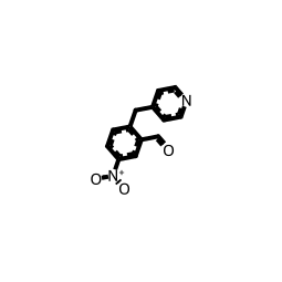 O=Cc1cc([N+](=O)[O-])ccc1Cc1ccncc1